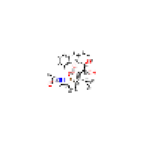 CCC(Cc1ccccc1)C1OC(=O)C(C(c2ccc(CNC(C)=O)s2)C2CC2)=C(O)C1=O